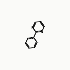 [c]1ccccc1-c1ncccn1